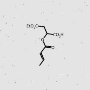 CC=CC(=O)OC(CC(=O)OCC)C(=O)O